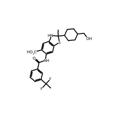 CC(F)(F)c1cccc(C(=O)Nc2cc3c(cc2C(=O)O)NC(C)(C2CCC(CO)CC2)S3)c1